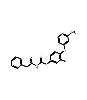 Nc1cc(Oc2ccc(NC(=O)NC(=O)Cc3ccccc3)cc2F)ccn1